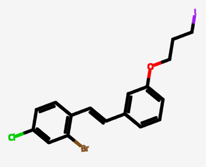 Clc1ccc(C=Cc2cccc(OCCCI)c2)c(Br)c1